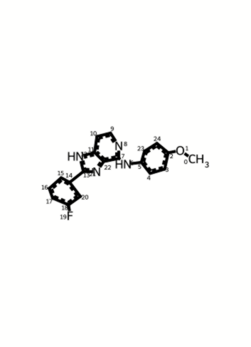 COc1ccc(Nc2nccc3[nH]c(-c4cccc(F)c4)nc23)cc1